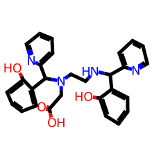 O=C(O)CN(CCNC(c1ccccn1)c1ccccc1O)C(c1ccccn1)c1ccccc1O